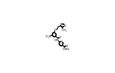 COC(=O)c1ccc(NC(=O)c2cc(OCCc3scnc3C)cc([N+](=O)[O-])c2)nc1